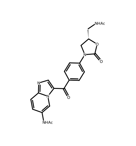 CC(=O)NC[C@H]1CN(c2ccc(C(=O)c3cnc4ccc(NC(C)=O)cn34)cc2)C(=O)O1